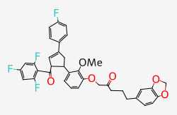 COc1c(OCC(=O)CCCc2ccc3c(c2)OCO3)cccc1C1CC(c2ccc(F)cc2)=CC1C(=O)c1c(F)cc(F)cc1F